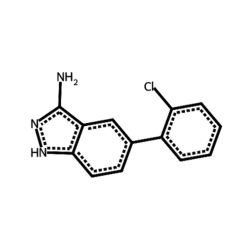 Nc1n[nH]c2ccc(-c3ccccc3Cl)cc12